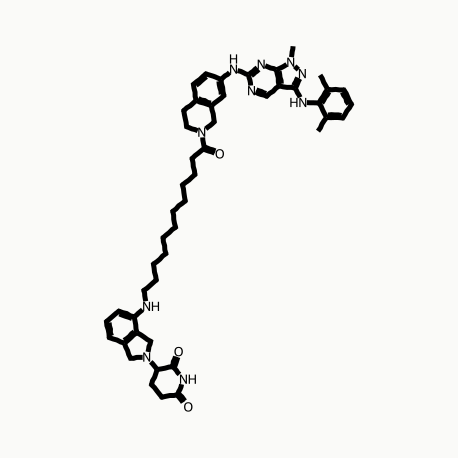 Cc1cccc(C)c1Nc1nn(C)c2nc(Nc3ccc4c(c3)CN(C(=O)CCCCCCCCCCCNc3cccc5c3CN(C3CCC(=O)NC3=O)C5)CC4)ncc12